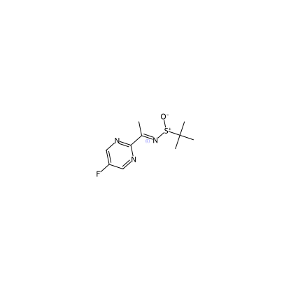 C/C(=N\[S+]([O-])C(C)(C)C)c1ncc(F)cn1